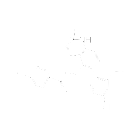 COc1ccc(C(=O)OCc2c(-c3ccc(Cl)cc3OC)ccc3c2C(C)=CC(C)(C)N3)cc1